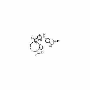 CC(C)N1Cc2cc(Nc3ncc4c(=O)n5n(c4n3)-c3ccc4c(c3)N(CCC/C=C\C5)C(=O)CO4)ccc2C2(CC2)C1